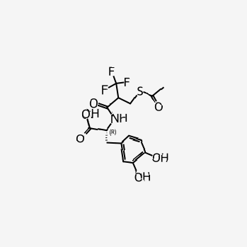 CC(=O)SCC(C(=O)N[C@H](Cc1ccc(O)c(O)c1)C(=O)O)C(F)(F)F